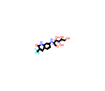 O=C[C@@H](Nc1ccc2cc(C(F)(F)F)c(=O)[nH]c2c1)[C@H](O)[C@@H](O)[C@@H](O)CO